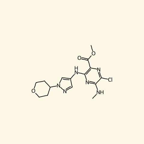 CNc1nc(Nc2cnn(C3CCOCC3)c2)c(C(=O)OC)nc1Cl